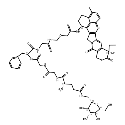 CC[C@@]1(O)C(=O)OCc2c1cc1n(c2=O)Cc2c-1nc1ccc(F)c3c1c2[C@@H](NC(=O)COCNC(=O)CNC(=O)[C@H](Cc1ccccc1)NC(=O)CNC(=O)CNC(=O)[C@@H](N)CCC(=O)NC[C@@H]1O[C@H](CO)[C@@H](O)[C@H](O)[C@H]1O)CC3